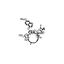 COc1ccc2c(O[C@@H]3C[C@H]4C(=O)N[C@]5(C(=O)NS(=O)(=O)C6(CF)CC6)C[C@H]5C=CCC[C@@H](C)C[C@@H](C)[C@H](NC(=O)O)C(=O)N4C3)ccnc2c1